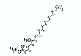 CCCCCCCCC=CCCCC=C(O)C=C/C=C\C(=O)OC